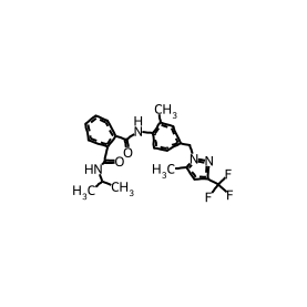 Cc1cc(Cn2nc(C(F)(F)F)cc2C)ccc1NC(=O)c1ccccc1C(=O)NC(C)C